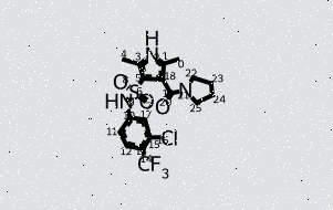 Cc1[nH]c(C)c(S(=O)(=O)Nc2ccc(C(F)(F)F)c(Cl)c2)c1C(=O)N1CCCC1